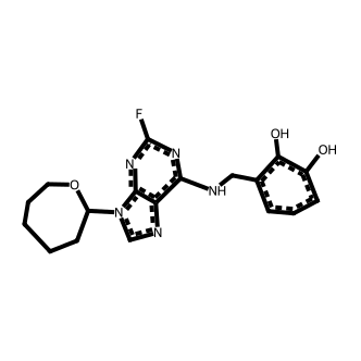 Oc1cccc(CNc2nc(F)nc3c2ncn3C2CCCCCO2)c1O